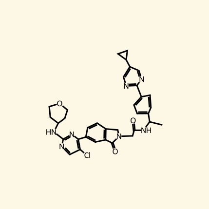 CC(NC(=O)CN1Cc2ccc(-c3nc(NC4CCOCC4)ncc3Cl)cc2C1=O)c1ccc(-c2ncc(C3CC3)cn2)cc1